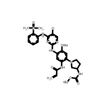 C=CC(=O)Nc1cc(Nc2ncc(Cl)c(Nc3ccccc3P(C)(C)=O)n2)c(OC)cc1N1CCC(NC(=O)OC(C)(C)C)C1